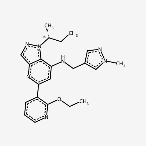 CCOc1ncccc1-c1cc(NCc2cnn(C)c2)c2c(cnn2[C@H](C)CC)n1